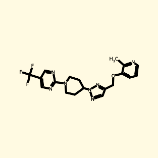 Cc1ncccc1OCc1cnn(C2CCN(c3ncc(C(F)(F)F)cn3)CC2)n1